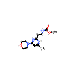 Cc1cc(N2CCOCC2)nc(CCNC(=O)OC(C)(C)C)n1